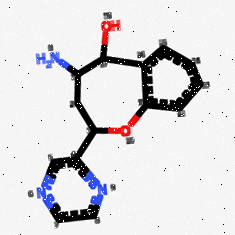 NC1CC(c2cnccn2)Oc2ccccc2C1O